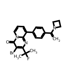 C=C(c1ccc(-c2cccn3c(=O)c(Br)c(C(C)(C)F)nc23)cc1)N1CCC1